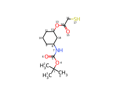 CC(C)(C)OC(=O)NC1CCCC(OC(=O)CS)C1